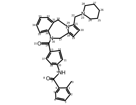 Cc1ccccc1C(=O)Nc1ccc(C(=O)N2Cc3ccc(CN4CCCCC4)n3Cc3ccccc32)cc1